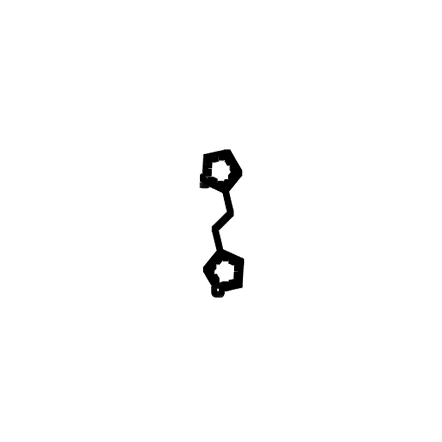 c1csc(CCc2ccoc2)c1